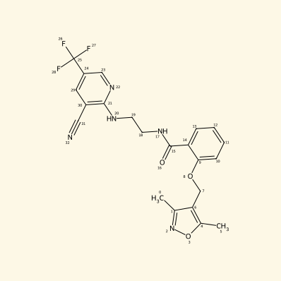 Cc1noc(C)c1COc1ccccc1C(=O)NCCNc1ncc(C(F)(F)F)cc1C#N